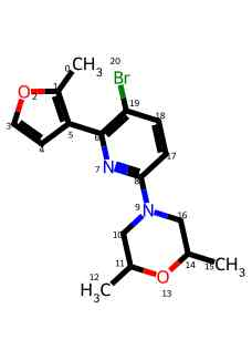 Cc1occc1-c1nc(N2CC(C)OC(C)C2)ccc1Br